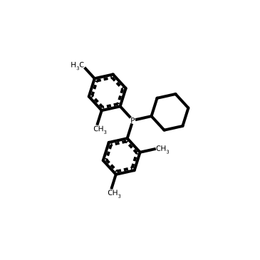 Cc1ccc(P(c2ccc(C)cc2C)C2CCCCC2)c(C)c1